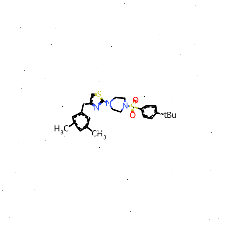 Cc1cc(C)cc(Cc2csc(N3CCN(S(=O)(=O)c4ccc(C(C)(C)C)cc4)CC3)n2)c1